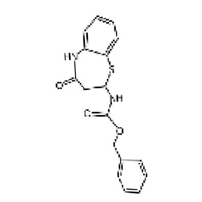 O=C1CC(NC(=O)OCc2ccccc2)Sc2ccccc2N1